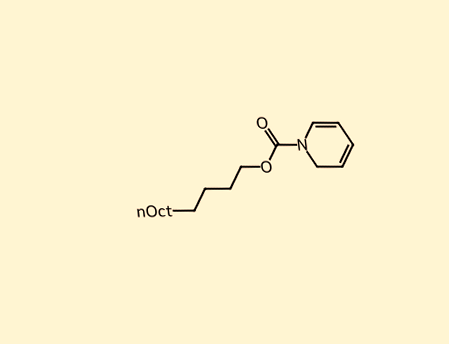 CCCCCCCCCCCCOC(=O)N1C=CC=CC1